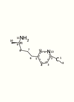 CCc1ccc(CCC[C@@H](C)N)cn1